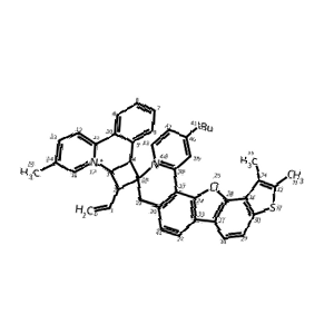 C=CC1C2C(c3ccccc3-c3ccc(C)c[n+]32)C12Cc1ccc3c(oc4c3ccc3sc(C)c(C)c34)c1-c1cc(C(C)(C)C)cc[n+]12